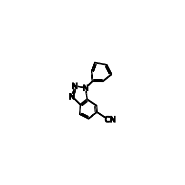 N#Cc1ccc2nnn(-c3ccccc3)c2c1